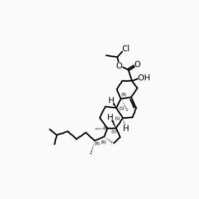 CC(C)CCC[C@@H](C)[C@H]1CC[C@H]2[C@@H]3CC=C4CC(O)(C(=O)OC(C)Cl)CC[C@]4(C)[C@H]3CC[C@]12C